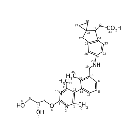 Cc1nc(OC[C@H](O)CO)nc(C)c1-c1cccc(CNc2ccc3c(c2)CC2(CC2)C3CC(=O)O)c1C